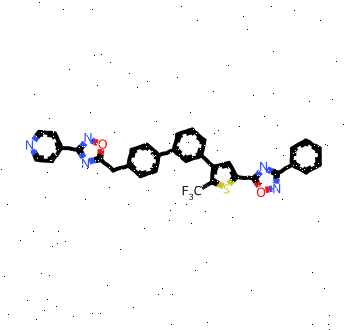 FC(F)(F)c1sc(-c2nc(-c3ccccc3)no2)cc1-c1cccc(-c2ccc(Cc3nc(-c4ccncc4)no3)cc2)c1